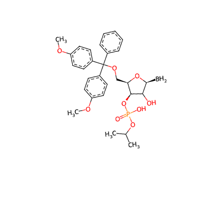 B[C@@H]1O[C@H](COC(c2ccccc2)(c2ccc(OC)cc2)c2ccc(OC)cc2)[C@H](OP(=O)(O)OC(C)C)C1O